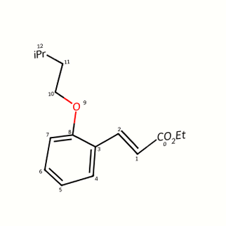 CCOC(=O)C=Cc1ccccc1OCCC(C)C